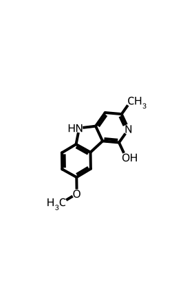 COc1ccc2[nH]c3cc(C)nc(O)c3c2c1